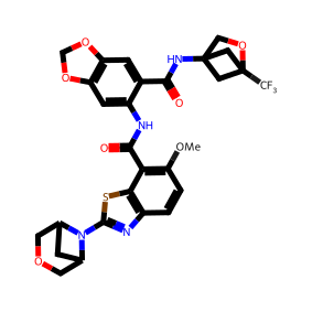 COc1ccc2nc(N3C4COCC3C4)sc2c1C(=O)Nc1cc2c(cc1C(=O)NC13COC(C(F)(F)F)(C1)C3)OCO2